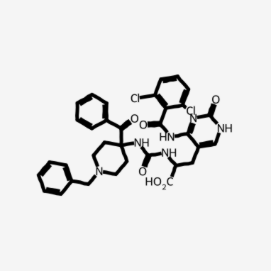 O=C(NC(Cc1c[nH]c(=O)nc1NC(=O)c1c(Cl)cccc1Cl)C(=O)O)NC1(C(=O)c2ccccc2)CCN(Cc2ccccc2)CC1